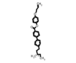 C=CCCOc1ccc(OC(=O)c2ccc(-c3ccc(CC[C@@H](C)CC)cc3)cc2)cc1